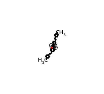 Cc1ccc(C=Cc2ccc(S(=O)(=O)S(=O)(=O)c3ccc(C=Cc4ccc(C)cc4)cc3)cc2)cc1